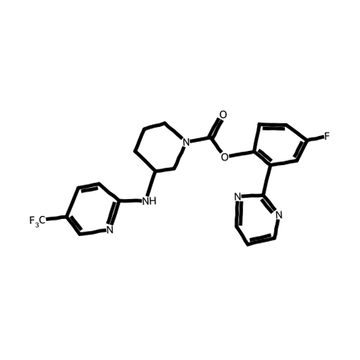 O=C(Oc1ccc(F)cc1-c1ncccn1)N1CCCC(Nc2ccc(C(F)(F)F)cn2)C1